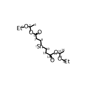 CCOC(C)OC(=O)C[CH2][Sn][CH2]CC(=O)OC(C)OCC